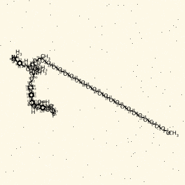 COCCOCCOCCOCCOCCOCCOCCOCCOCCOCCOCCOCCOCCOCCOCCOCCOCCOCCOCCOCCOCCOCCOC(C)CC(=O)O[C@@H]1C[C@@H](C(=O)NCc2ccc(-c3scnc3C)cc2)N(C(=O)[C@@H](NC(=O)COCCN2CCN(c3ccc(-c4cnc5[nH]cc(C(=O)c6c(F)ccc(NS(=O)(=O)N7CC[C@@H](F)C7)c6F)c5c4)cc3)CC2)C(C)(C)C)C1